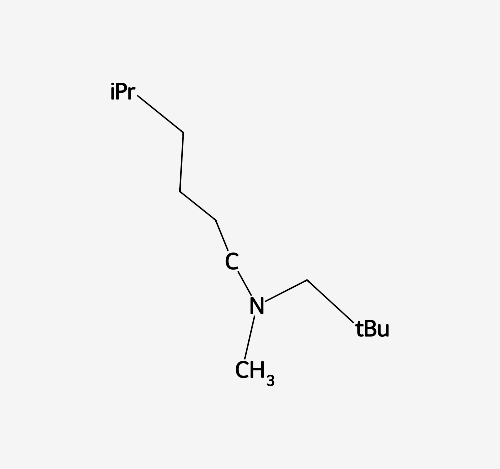 CC(C)CCCCN(C)CC(C)(C)C